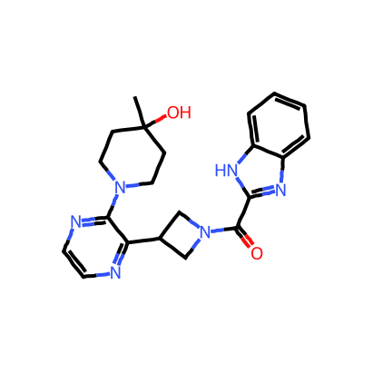 CC1(O)CCN(c2nccnc2C2CN(C(=O)c3nc4ccccc4[nH]3)C2)CC1